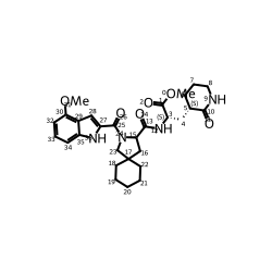 COC(=O)[C@H](C[C@@H]1CCCNC1=O)NC(=O)C1CC2(CCCCC2)CN1C(=O)c1cc2c(OC)cccc2[nH]1